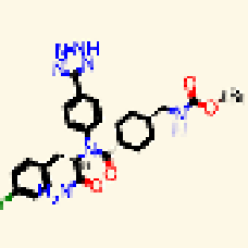 CC(C)(C)OC(=O)NC[C@H]1CC[C@H](C(=O)N(c2ccc(-c3nn[nH]n3)cc2)[C@@H](Cc2ccc(Br)cc2)C(N)=O)CC1